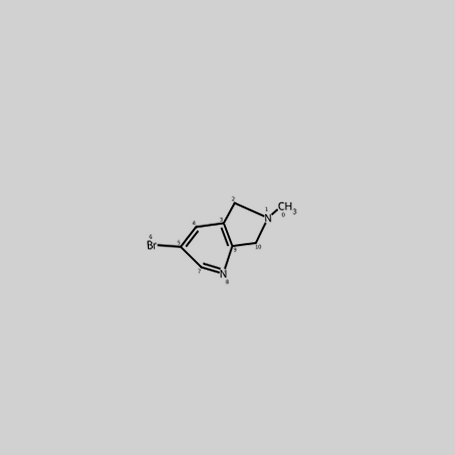 CN1Cc2cc(Br)cnc2C1